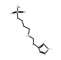 O=S(=O)(O)CCCCOCCc1ccsc1